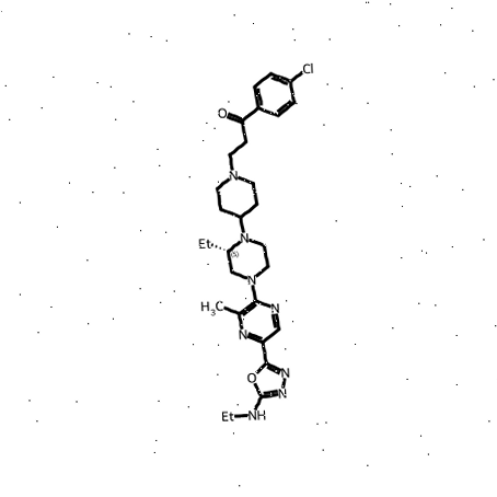 CCNc1nnc(-c2cnc(N3CCN(C4CCN(CCC(=O)c5ccc(Cl)cc5)CC4)[C@@H](CC)C3)c(C)n2)o1